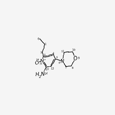 CCCc1cc(N2CCOCC2)cc(N)[n+]1[O-]